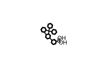 OB(O)c1cccc(-c2ccc3c(c2)C(c2ccccc2)(c2ccccc2)c2ccccc2-3)c1